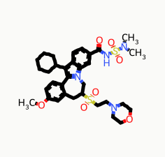 COc1ccc2c(c1)CC(S(=O)(=O)CCN1CCOCC1)Cn1c-2c(C2CCCCC2)c2ccc(C(=O)NS(=O)(=O)N(C)C)cc21